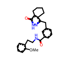 COc1ccccc1CCNC(=O)c1cccc(Cc2n[nH]c(=O)c3c2CCCC3)c1